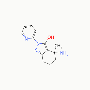 CC1(N)CCCc2nn(-c3ccccn3)c(O)c21